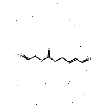 C=CC=CCCC(=O)OCC=C